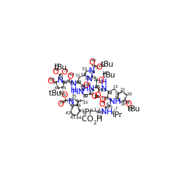 CC(C)C[C@H](NC(=O)[C@@H](CC(C)C)NC(=O)[C@H](Cc1ccc(OC(C)(C)C)cc1)NC(=O)[C@H](COC(C)(C)C)NC(=O)[C@H](Cc1cn(C(=O)OC(C)(C)C)c2ccccc12)NC(=O)[C@H](Cc1cn(C(=O)OC(C)(C)C)cn1)NC(=O)[C@@H]1CCC(=O)N1C(=O)OC(C)(C)C)C(=O)O